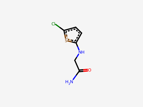 NC(=O)CNc1ccc(Cl)s1